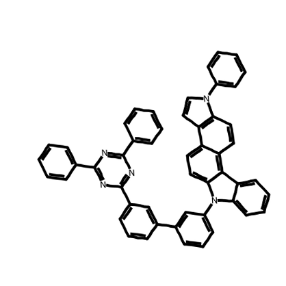 c1ccc(-c2nc(-c3ccccc3)nc(-c3cccc(-c4cccc(-n5c6ccccc6c6c7ccc8c(ccn8-c8ccccc8)c7ccc65)c4)c3)n2)cc1